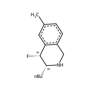 CCCC[C@H]1NCc2ccc(C)cc2[C@H]1F